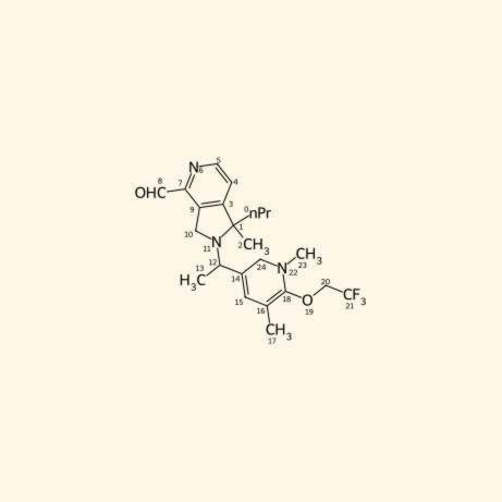 CCCC1(C)c2ccnc(C=O)c2CN1C(C)C1=CC(C)=C(OCC(F)(F)F)N(C)C1